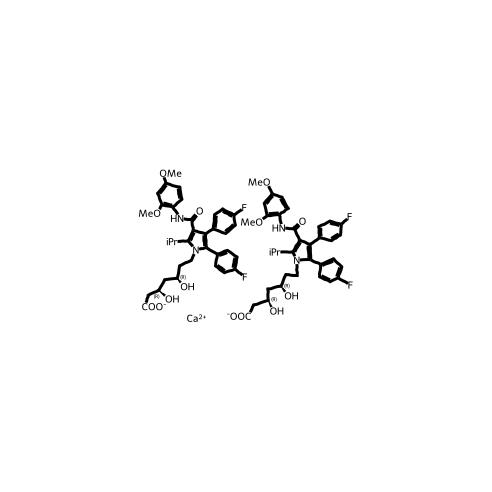 COc1ccc(NC(=O)c2c(-c3ccc(F)cc3)c(-c3ccc(F)cc3)n(CC[C@@H](O)C[C@@H](O)CC(=O)[O-])c2C(C)C)c(OC)c1.COc1ccc(NC(=O)c2c(-c3ccc(F)cc3)c(-c3ccc(F)cc3)n(CC[C@@H](O)C[C@@H](O)CC(=O)[O-])c2C(C)C)c(OC)c1.[Ca+2]